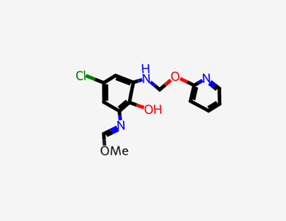 COC=Nc1cc(Cl)cc(NCOc2ccccn2)c1O